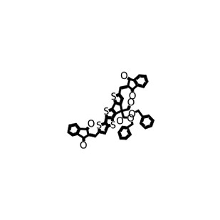 O=C1C(=Cc2cc3c(s2)-c2sc4c(sc5cc(C=C6C(=O)c7ccccc7C6=O)sc54)c2C3(C(=O)OCc2ccccc2)C(=O)OCc2ccccc2)C(=O)c2ccccc21